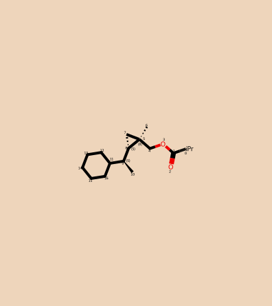 CC(C)C(=O)OC[C@]1(C)C[C@H]1[C@@H](C)C1CCCCC1